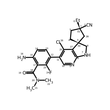 CC[C@]1(C#N)CC[C@]2(CNc3ncc(-c4ccc(N)c(C(=O)N(C)C)c4F)c(Cl)c32)C1